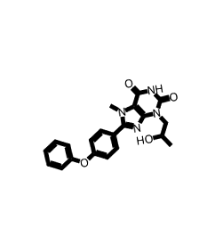 CC(O)Cn1c(=O)[nH]c(=O)c2c1nc(-c1ccc(Oc3ccccc3)cc1)n2C